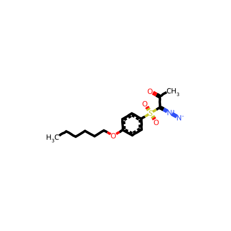 CCCCCCOc1ccc(S(=O)(=O)C(=[N+]=[N-])C(C)=O)cc1